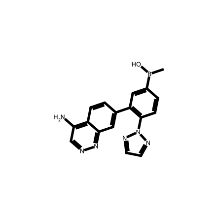 CB(O)c1ccc(-n2nccn2)c(-c2ccc3c(N)cnnc3c2)c1